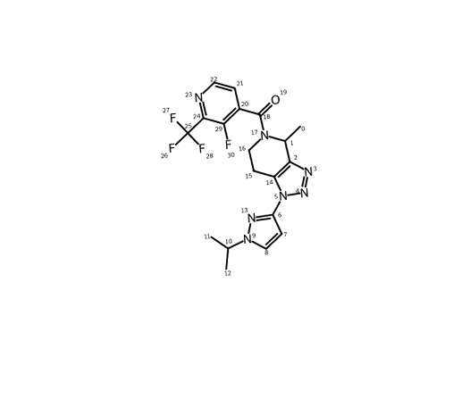 CC1c2nnn(-c3ccn(C(C)C)n3)c2CCN1C(=O)c1ccnc(C(F)(F)F)c1F